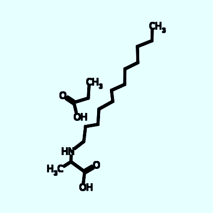 CCC(=O)O.CCCCCCCCCCCCNC(C)C(=O)O